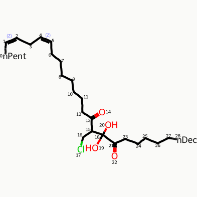 CCCCC/C=C\C/C=C\CCCCCCCC(=O)C(CCl)C(O)(O)C(=O)CCCCCCCCCCCCCCC